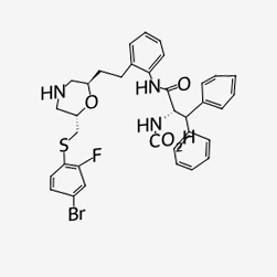 O=C(O)N[C@H](C(=O)Nc1ccccc1CC[C@@H]1CNC[C@@H](CSc2ccc(Br)cc2F)O1)C(c1ccccc1)c1ccccc1